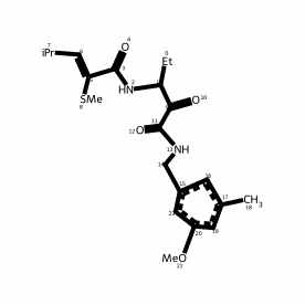 CCC(NC(=O)/C(=C/C(C)C)SC)C(=O)C(=O)NCc1cc(C)cc(OC)c1